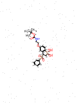 CC(C)(C)OC(=O)NCCOc1ccc2c(c1)C(S(=O)(=O)c1ccccc1)CS2(O)O